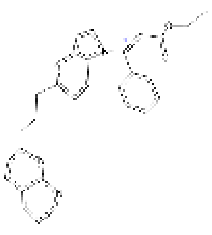 CCOC(=O)/C=C(\c1ccccc1)n1ccc2cc(CCCc3ccc4cccnc4n3)ccc21